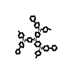 Cc1ccc(N(c2ccc(-c3ccccc3)cc2)c2ccc(N(c3ccc(N(c4ccc(C)cc4)c4ccc(-c5ccccc5)cc4)cc3)c3ccc(N(c4ccc(C)cc4)c4ccc(-c5ccccc5)cc4)cc3)cc2)cc1